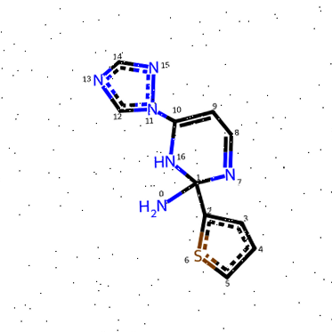 NC1(c2cccs2)N=CC=C(n2cncn2)N1